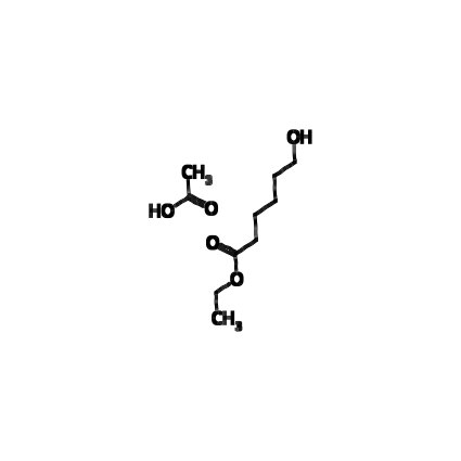 CC(=O)O.CCOC(=O)CCCCCO